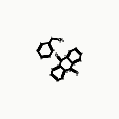 CCc1ccccc1.O=C1c2ccccc2C(=O)c2ccccc21